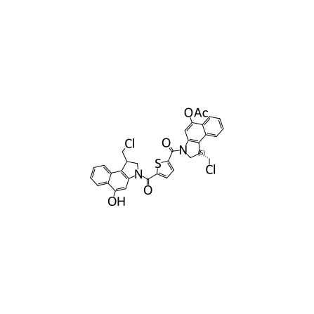 CC(=O)Oc1cc2c(c3ccccc13)[C@H](CCl)CN2C(=O)c1ccc(C(=O)N2CC(CCl)c3c2cc(O)c2ccccc32)s1